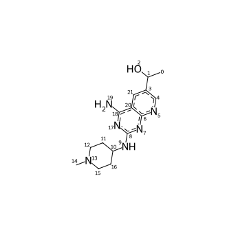 CC(O)c1cnc2nc(NC3CCN(C)CC3)nc(N)c2c1